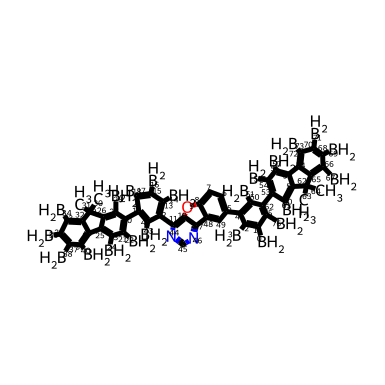 Bc1c(B)c(-c2ccc3oc4c(-c5c(B)c(B)c(B)c(-c6c(B)c(B)c7c(c6B)C(C)(C)c6c(B)c(B)c(B)c(B)c6-7)c5B)ncnc4c3c2)c(B)c(-c2c(B)c(B)c3c(c2B)C(C)(C)c2c(B)c(B)c(B)c(B)c2-3)c1B